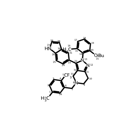 Cc1ccc(C(F)(F)F)c(CN2CCc3nn(-c4c(C)cccc4OCC(C)C)c(-c4ccc5[nH]ccc5c4)c3C2)c1